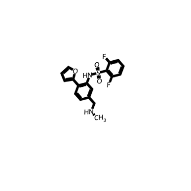 CNCc1ccc(-c2ccco2)c(NS(=O)(=O)c2c(F)cccc2F)c1